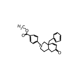 COC(=O)c1ccc(N2CCC3CC(=O)C=CC3(Cc3ccccc3)C2)cc1